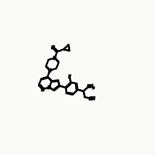 NC(CO)c1ccc(-c2cc3c(N4CCN(C(=O)C5CC5)CC4)ccnn3c2)c(F)c1